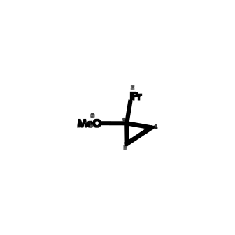 COC1(C(C)C)CC1